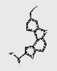 O=C(O)c1cc2c(ccc3oc4cc(CO)ccc4c32)o1